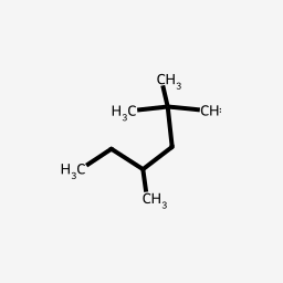 [CH]C(C)(C)CC(C)CC